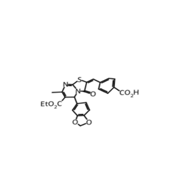 CCOC(=O)C1=C(C)N=c2s/c(=C/c3ccc(C(=O)O)cc3)c(=O)n2C1c1ccc2c(c1)OCO2